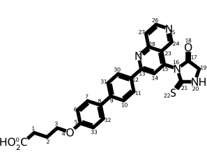 O=C(O)CCCOc1ccc(-c2ccc(-c3cc(N4C(=O)CNC4=S)c4cnccc4n3)cc2)cc1